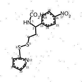 O=C(O)NC(CCSSc1ccccn1)c1ccc([N+](=O)[O-])cc1